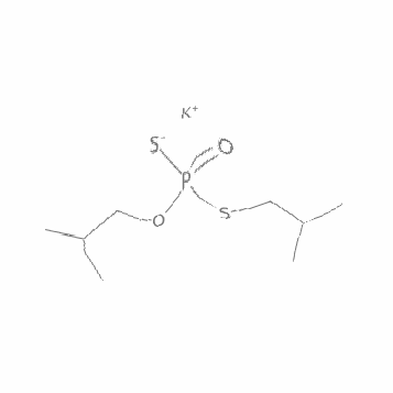 CC(C)COP(=O)([S-])SCC(C)C.[K+]